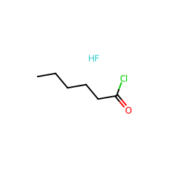 CCCCCC(=O)Cl.F